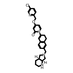 O=c1cc(OCc2ccc(Cl)cn2)ccn1C1=Cc2ccc(CN3C[C@@H]4CCCN[C@@H]4C3)cc2CC1